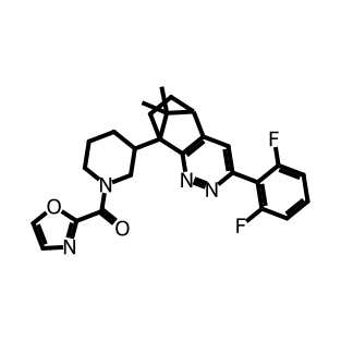 CC1(C)C2CCC1(C1CCCN(C(=O)c3ncco3)C1)c1nnc(-c3c(F)cccc3F)cc12